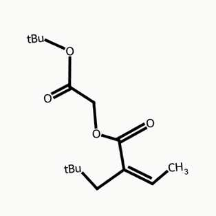 C/C=C(/CC(C)(C)C)C(=O)OCC(=O)OC(C)(C)C